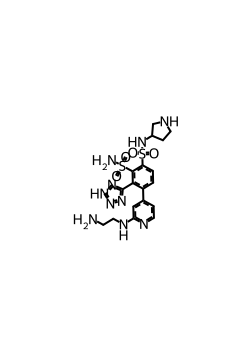 NCCNc1cc(-c2ccc(S(=O)(=O)NC3CCNC3)c(S(N)(=O)=O)c2-c2nn[nH]n2)ccn1